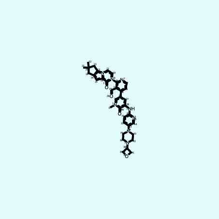 Cn1cc(-c2ccnc(-n3ccn4c5c(cc4c3=O)CC(C)(C)C5)c2C=O)cc(Nc2ccc(N3CCN(C4COC4)CC3)cn2)c1=O